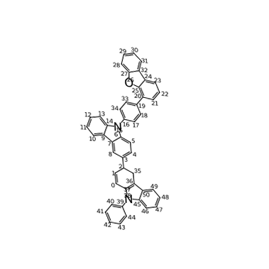 C1=CC(c2ccc3c(c2)c2ccccc2n3-c2ccc(-c3cccc4c3oc3ccccc34)cc2)Cc2c1n(-c1ccccc1)c1ccccc21